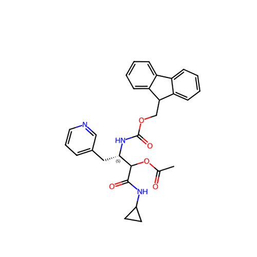 CC(=O)OC(C(=O)NC1CC1)[C@H](Cc1cccnc1)NC(=O)OCC1c2ccccc2-c2ccccc21